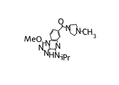 COc1nnc2c(NC(C)C)nc3cc(C(=O)N4CCN(C)CC4)ccc3n12